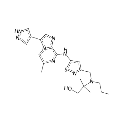 CCCN(Cc1cc(Nc2nc(C)cn3c(-c4cn[nH]c4)cnc23)sn1)C(C)(C)CO